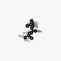 Cc1cc(C)cc(-c2cc3c(c4c2oc2ccccc24)-c2ccc(N(c4ccc(C(C)(C)C)cc4)c4ccc5c(c4)C(C)(C)c4c6c(c7oc8ccccc8c7c4-5)-c4ccccc4C6(C)C)cc2C3(C)C)c1